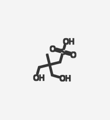 CC(CO)(CO)CS(=O)(=O)O